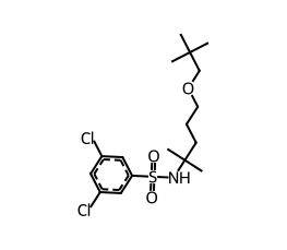 CC(C)(C)COCCCC(C)(C)NS(=O)(=O)c1cc(Cl)cc(Cl)c1